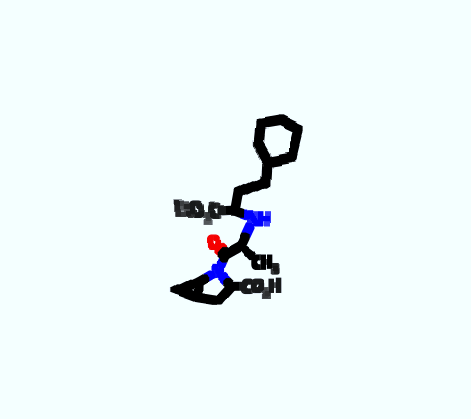 CCOC(=O)C(CCC1CCCCC1)N[C@@H](C)C(=O)N1C(C(=O)O)CC2CC21